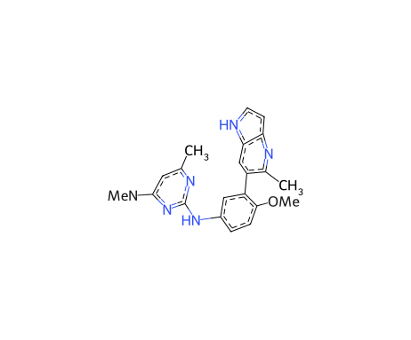 CNc1cc(C)nc(Nc2ccc(OC)c(-c3cc4[nH]ccc4nc3C)c2)n1